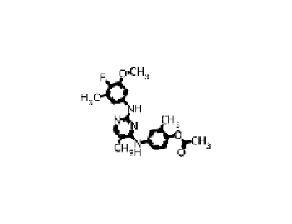 COc1cc(Nc2ncc(C)c(Nc3ccc(OC(C)=O)c(C)c3)n2)cc(C)c1F